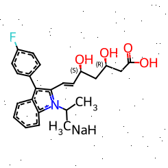 CC(C)n1c(C=C[C@@H](O)C[C@@H](O)CC(=O)O)c(-c2ccc(F)cc2)c2ccccc21.[NaH]